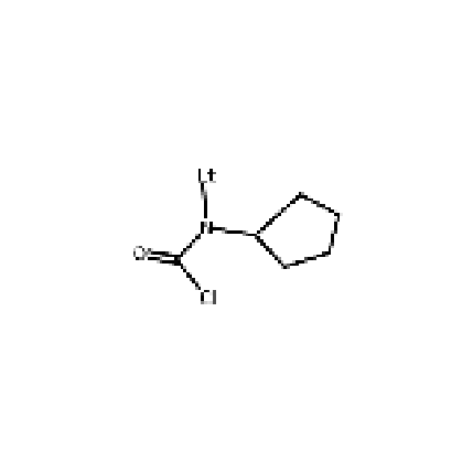 CCN(C(=O)Cl)C1CCCC1